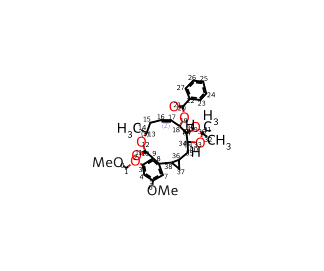 COCOc1cc(OC)cc2c1C(=O)O[C@@H](C)C/C=C\C(OC(=O)c1ccccc1)[C@H]1OC(C)(C)O[C@H]1CC1CC21